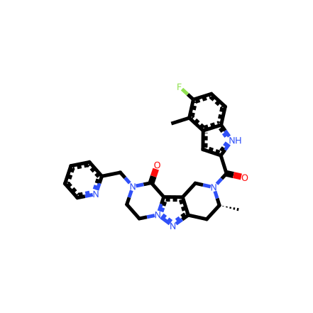 Cc1c(F)ccc2[nH]c(C(=O)N3Cc4c(nn5c4C(=O)N(Cc4ccccn4)CC5)C[C@H]3C)cc12